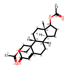 CCC(=O)OC[C@]12CCC(=O)C=C1CC[C@@H]1[C@H]2CC[C@]2(C)C(OC(=O)CC)CC[C@@H]12